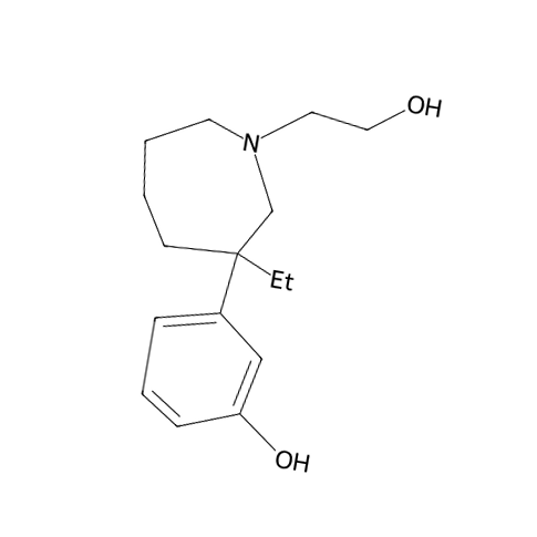 CCC1(c2cccc(O)c2)CCCCN(CCO)C1